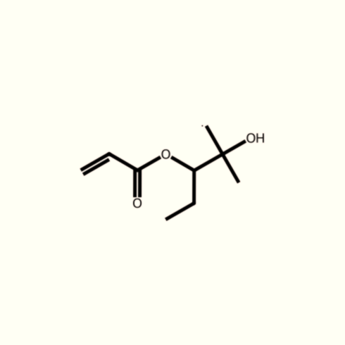 [CH2]C(C)(O)C(CC)OC(=O)C=C